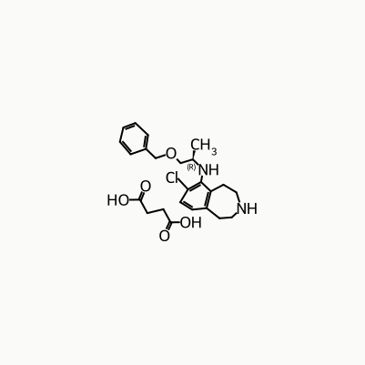 C[C@H](COCc1ccccc1)Nc1c(Cl)ccc2c1CCNCC2.O=C(O)CCC(=O)O